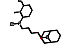 CCC1CCCC(P(CC)CCCCCB2C3CCCC2CCC3)[C@H]1C